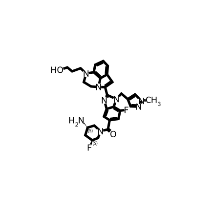 Cn1cc(Cn2c(-c3cc4cccc5c4n3CCN5CCCO)nc3cc(C(=O)N4C[C@@H](N)C[C@H](F)C4)cc(F)c32)cn1